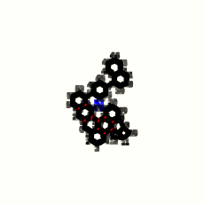 C1=c2cccc(C34CCC5CC(C3)C54)c2=C(c2ccccc2N(c2ccccc2-c2ccccc2)c2cc(-c3cccc4ccccc34)ccc2-c2ccccc2)CC1